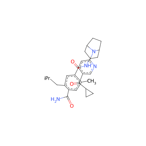 Cc1cc(C(N)=O)c(CC(C)C)cc1C(=O)NC1CC2CCC(C1)N2c1ccc(C(=O)C2CC2)cn1